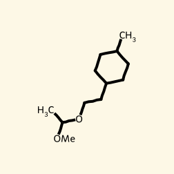 COC(C)OCCC1CCC(C)CC1